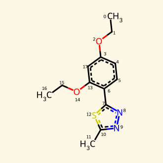 CCOc1ccc(-c2nnc(C)s2)c(OCC)c1